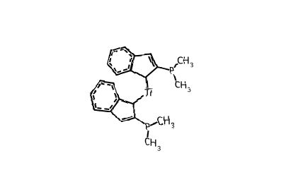 CP(C)C1=Cc2ccccc2[CH]1[Ti][CH]1C(P(C)C)=Cc2ccccc21